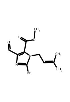 COC(=O)c1c(C=O)nc(Br)n1CC=C(C)C